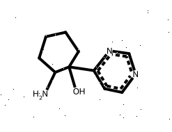 NC1CCCCC1(O)c1ccncn1